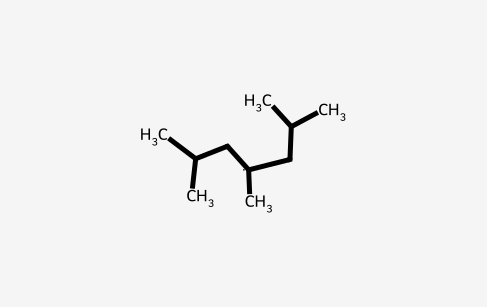 C[C](CC(C)C)CC(C)C